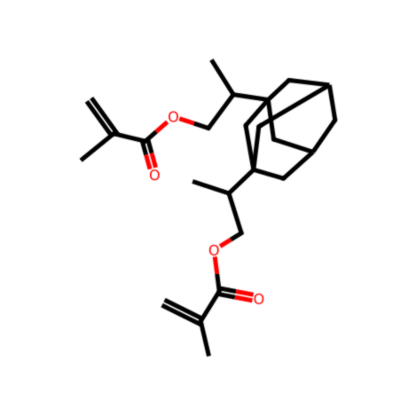 C=C(C)C(=O)OCC(C)C12CC3CC(C1)CC(C(C)COC(=O)C(=C)C)(C3)C2